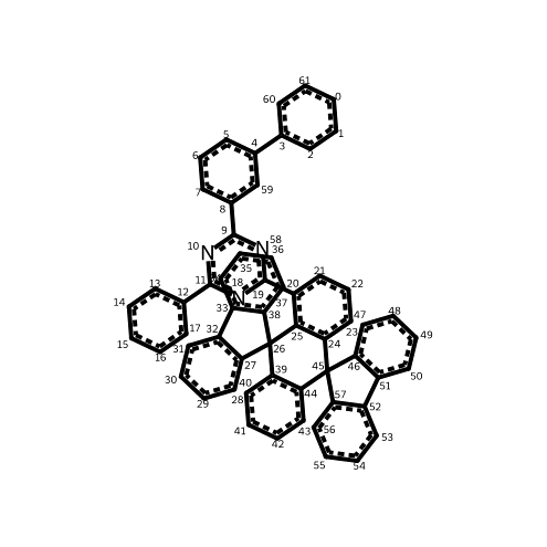 c1ccc(-c2cccc(-c3nc(-c4ccccc4)nc(-c4cccc5c4C4(c6ccccc6-c6ccccc64)c4ccccc4C54c5ccccc5-c5ccccc54)n3)c2)cc1